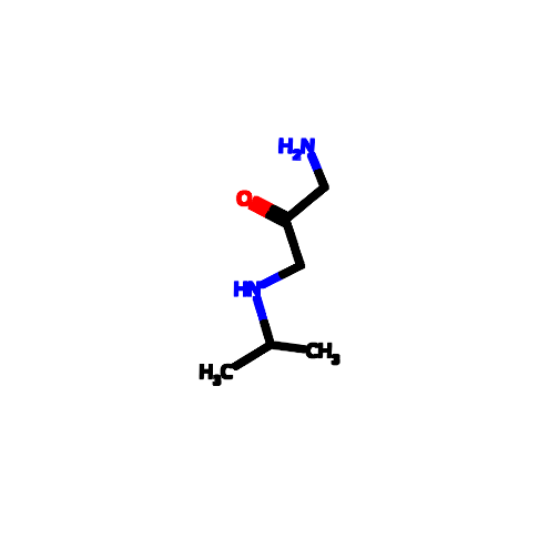 CC(C)NCC(=O)CN